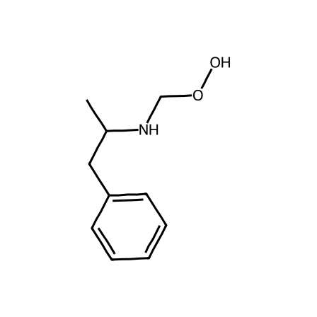 CC(Cc1ccccc1)NCOO